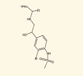 CCCCCCC(CC)NCC(O)c1ccc(NS(C)(=O)=O)c(Br)c1